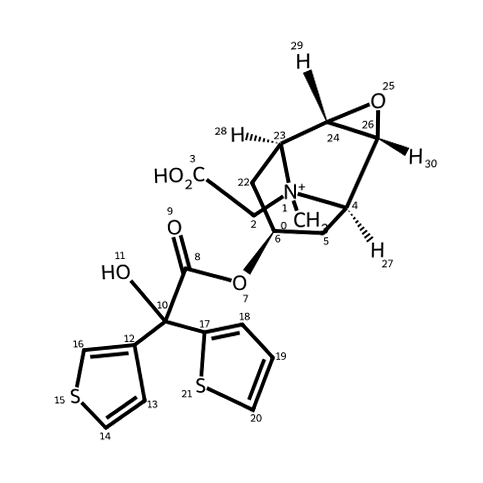 C[N+]1(CC(=O)O)[C@@H]2C[C@@H](OC(=O)C(O)(c3ccsc3)c3cccs3)C[C@H]1[C@@H]1O[C@@H]12